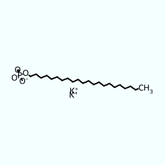 CCCCCCCCCCCCCCCCCCCCCCOP(=O)([O-])[O-].[K+].[K+]